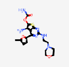 Cc1ccc(-c2nc(NCCN3CCOCC3)nc3sc(OC(N)=O)c(N)c23)o1